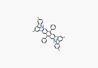 Cc1ccc2c(c1)c1cc(C)cc3c4cc5c(-c6ccccc6)c6cc7c(cc6c(-c6ccccc6)c5cc4n2c13)c1cc(C)cc2c3cc(C)ccc3n7c21